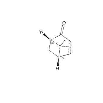 CC1(C)[C@@H]2C=CC(=O)[C@H]1C2